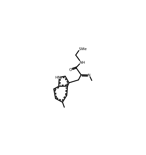 C/N=C(\Cc1c[nH]c2ccc(C)cc12)C(=O)NCSC